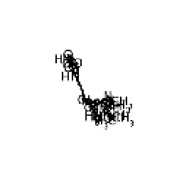 Cc1cc(F)c(Nc2nc(-c3ccc4c(c3)N(C3CC(N5CCCCC5)C3)C(=O)C43CCN(C(=O)CCCCCCCCCNc4ccc5c(c4)C(=O)N(C4CCC(=O)NC4=O)C5=O)CC3)cc3ncn(C(C)C)c23)cc1C(=O)NC(C)C